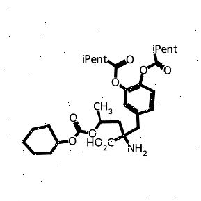 CCCC(C)C(=O)Oc1ccc(CC(N)(C[C@H](C)OC(=O)OC2CCCCC2)C(=O)O)cc1OC(=O)C(C)CCC